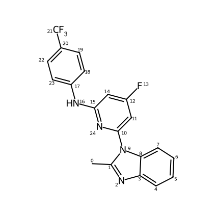 Cc1nc2ccccc2n1-c1cc(F)cc(Nc2ccc(C(F)(F)F)cc2)n1